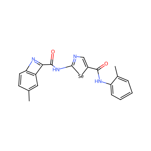 Cc1ccc2c(c1)C(C(=O)Nc1ncc(C(=O)Nc3ccccc3C)[se]1)=N2